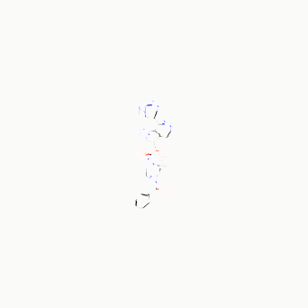 C[C@@H]1CN(C(=O)c2ccccc2)CCN1C(=O)C(=O)C1CNc2c1ccnc2-c1cncnc1